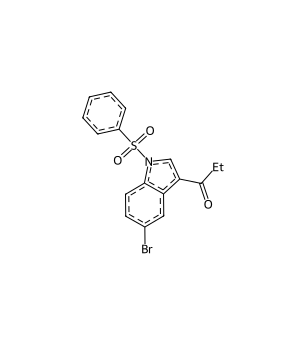 CCC(=O)c1cn(S(=O)(=O)c2ccccc2)c2ccc(Br)cc12